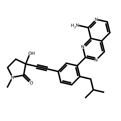 CC(C)Cc1ccc(C#CC2(O)CCN(C)C2=O)cc1-c1ncc2ccnc(N)c2n1